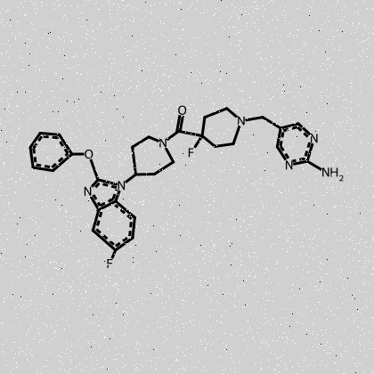 Nc1ncc(CN2CCC(F)(C(=O)N3CCC(n4c(Oc5ccccc5)nc5cc(F)ccc54)CC3)CC2)cn1